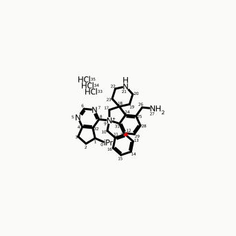 CC(C)C1CCc2ncnc([N+]3(Cc4ccccc4)CC4(CCNCC4)c4c(CN)cccc43)c21.Cl.Cl.Cl